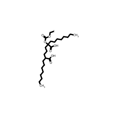 CCCCCCCCC(CCCC(CCCCCCCC)(OC(=O)OCI)C(=O)O)C(=O)O